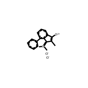 CC1=[C]([Zr+2])c2cccc(-c3ccccc3)c2C1=[Si](C)C.[Cl-].[Cl-]